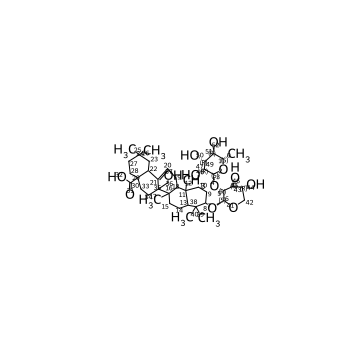 C[C@@H]1O[C@@H](O[C@H]2[C@H](OC3CCC4(C)C(CCC5(C)C4CC=C4C6CC(C)(C)CCC6(C(=O)O)CCC45CO)C3(C)C)OC[C@@H](O)[C@@H]2O)[C@H](O)[C@H](O)[C@H]1O